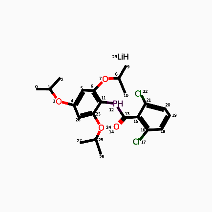 CC(C)Oc1cc(OC(C)C)c(PC(=O)c2c(Cl)cccc2Cl)c(OC(C)C)c1.[LiH]